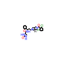 O=C1NCC(C(=O)NC(CCN2CC3CN(C(=O)c4c(F)cccc4Cl)C[C@@H]3C2)c2ccccc2)N1